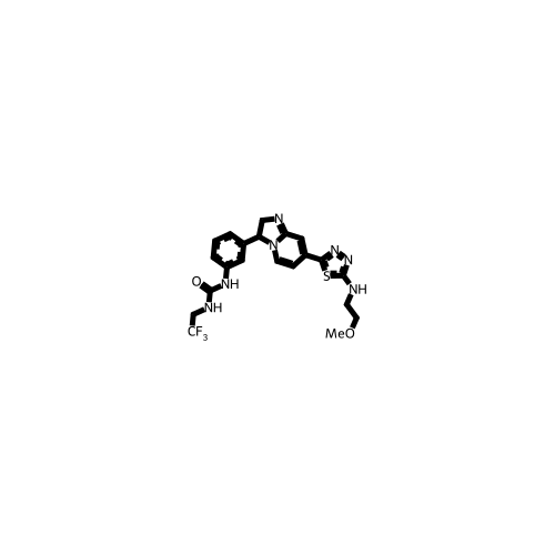 COCCNc1nnc(C2=CC3=NCC(c4cccc(NC(=O)NCC(F)(F)F)c4)N3C=C2)s1